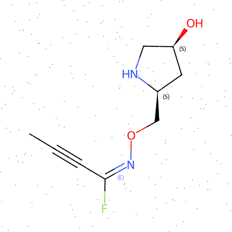 CC#C/C(F)=N\OC[C@@H]1C[C@H](O)CN1